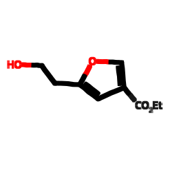 CCOC(=O)c1coc(CCO)c1